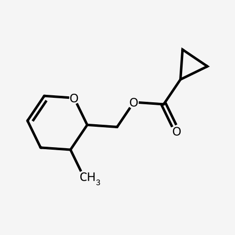 CC1CC=COC1COC(=O)C1CC1